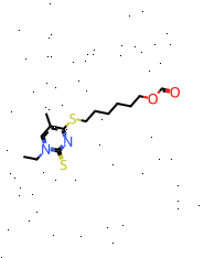 CCn1cc(C)c(SCCCCCCOC=O)nc1=S